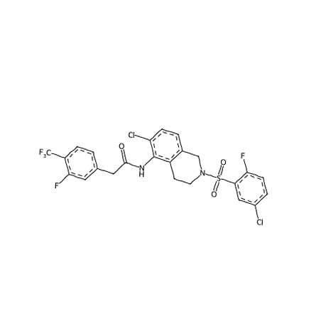 O=C(Cc1ccc(C(F)(F)F)c(F)c1)Nc1c(Cl)ccc2c1CCN(S(=O)(=O)c1cc(Cl)ccc1F)C2